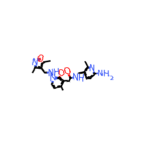 Cc1ccn(NCc2c(C)noc2C)c(=O)c1CC(=O)NCc1ccc(N)nc1C